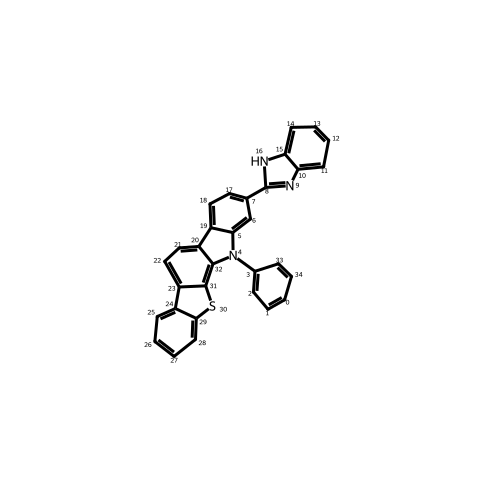 c1ccc(-n2c3cc(-c4nc5ccccc5[nH]4)ccc3c3ccc4c5ccccc5sc4c32)cc1